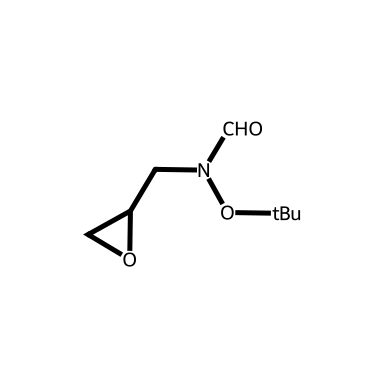 CC(C)(C)ON(C=O)CC1CO1